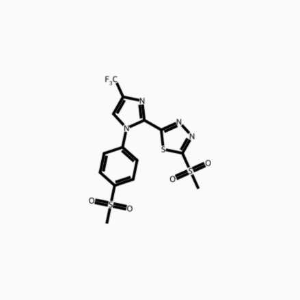 CS(=O)(=O)c1ccc(-n2cc(C(F)(F)F)nc2-c2nnc(S(C)(=O)=O)s2)cc1